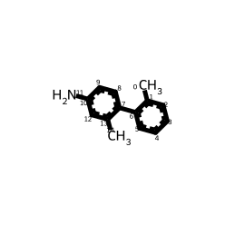 Cc1ccccc1-c1ccc(N)cc1C